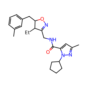 CCC1C(CNC(=O)c2cc(C)nn2C2CCCC2)=NOC1Cc1cccc(C)c1